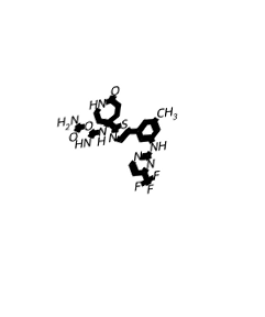 Cc1cc(Nc2nccc(C(F)(F)F)n2)cc(-c2cnc(C3(NC(=N)OC(N)=O)CCNC(=O)CC3)s2)c1